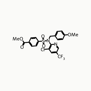 COC(=O)c1ccc(S(=O)(=O)N(Cc2ccc(OC)cc2)c2ncc(C(F)(F)F)cc2Cl)cc1